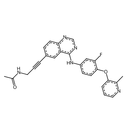 CC(=O)NCC#Cc1ccc2ncnc(Nc3ccc(Oc4cccnc4C)c(F)c3)c2c1